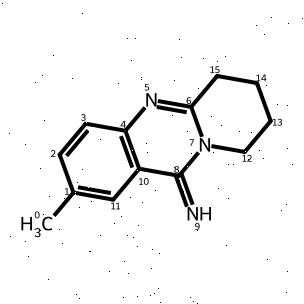 Cc1ccc2nc3n(c(=N)c2c1)CCCC3